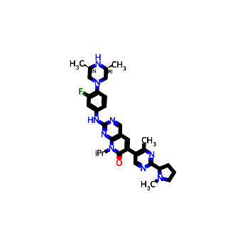 Cc1nc(C2CCCN2C)ncc1-c1cc2cnc(Nc3ccc(N4C[C@@H](C)N[C@@H](C)C4)c(F)c3)nc2n(C(C)C)c1=O